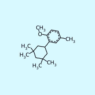 COc1ccc(C)cc1C1CC(C)(C)CC(C)(C)C1